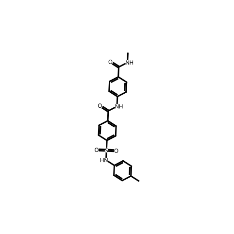 CNC(=O)c1ccc(NC(=O)c2ccc(S(=O)(=O)Nc3ccc(C)cc3)cc2)cc1